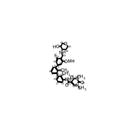 COc1cc(-c2cccc(-c3cccc(NC(=O)c4cn(C)c(=O)n(C)c4=O)c3C)c2C)cc(F)c1CN[C@@H]1CCOC[C@@H]1O